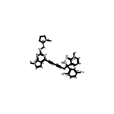 CN1CCC[C@@H]1COc1nc(C#CC#CCC(O)(c2cc(F)ccc2F)c2cccn(C)c2=O)c2ccn(C)c2n1